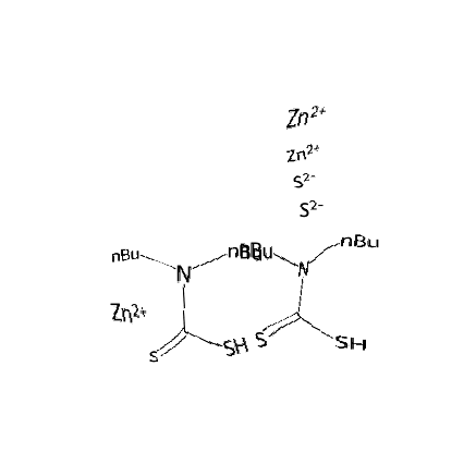 CCCCN(CCCC)C(=S)S.CCCCN(CCCC)C(=S)S.[S-2].[S-2].[Zn+2].[Zn+2].[Zn+2]